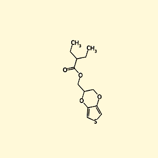 CCC(CC)C(=O)OCC1COc2cscc2O1